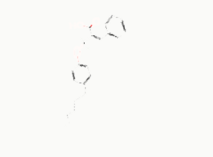 O=C(O)/C(=C\c1ccccc1)C(F)(F)Oc1ccc(CCCCCF)cc1